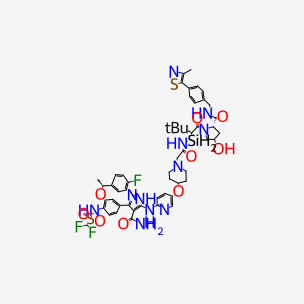 Cc1ncsc1-c1ccc(CNC(=O)[C@@H]2C[C@@H](O)CN2C(=O)[C@@H]([SiH2]NC(=O)CN2CCC(Oc3ccc(Nc4[nH]nc(-c5ccc(NS(=O)(=O)C(F)F)c(O[C@@H](C)c6ccc(F)cc6)c5)c4C(N)=O)nc3)CC2)C(C)(C)C)cc1